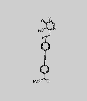 CNC(=O)c1ccc(C#Cc2ccc(NCc3nc[nH]c(=O)c3O)cc2)cc1